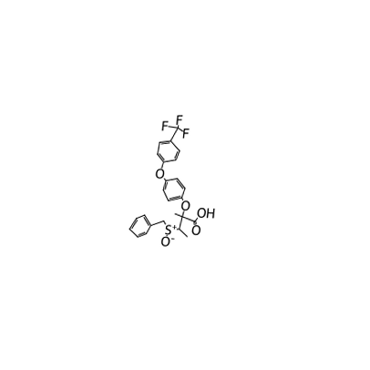 CC([S+]([O-])Cc1ccccc1)C(C)(Oc1ccc(Oc2ccc(C(F)(F)F)cc2)cc1)C(=O)O